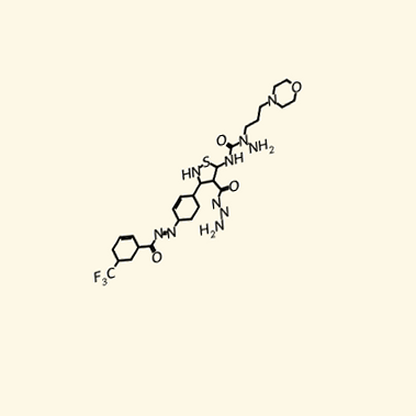 NN=NC(=O)C1C(NC(=O)N(N)CCCN2CCOCC2)SNC1C1C=CC(N=NC(=O)C2C=CCC(C(F)(F)F)C2)CC1